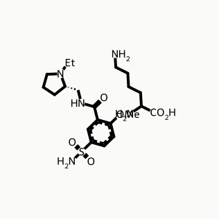 CCN1CCC[C@H]1CNC(=O)c1cc(S(N)(=O)=O)ccc1OC.NCCCCC(N)C(=O)O